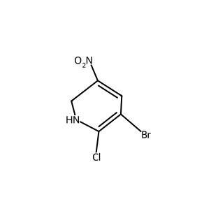 O=[N+]([O-])C1=CC(Br)=C(Cl)NC1